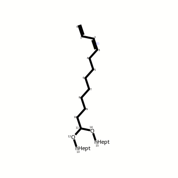 C=C/C=C\CCCCCCCC(OCCCCCCC)OCCCCCCC